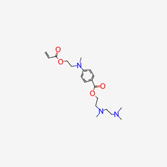 C=CC(=O)OCCN(C)c1ccc(C(=O)OCCN(C)CCN(C)C)cc1